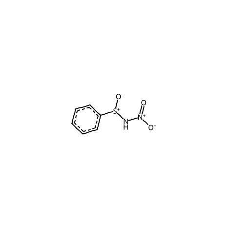 O=[N+]([O-])N[S+]([O-])c1ccccc1